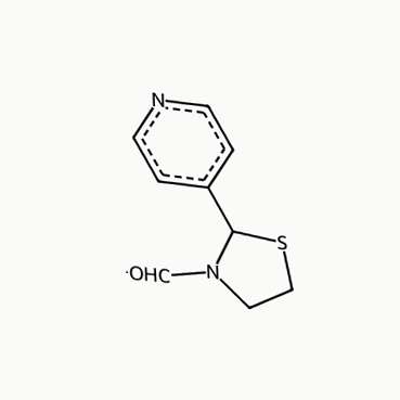 O=[C]N1CCSC1c1ccncc1